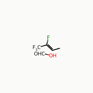 CC=C(F)C(F)(F)F.O=CO